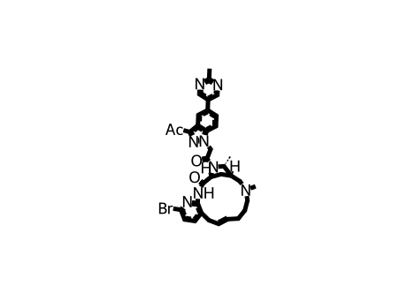 CC(=O)c1nn(CC(=O)N2[C@H](C)[C@@H]3C[C@H]2C(=O)Nc2nc(Br)ccc2C/C=C/CCCN(C)C3)c2ccc(-c3cnc(C)nc3)cc12